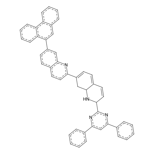 C1=CC(c2nc(-c3ccccc3)cc(-c3ccccc3)n2)NC2CC(c3ccc4ccc(-c5cc6ccccc6c6ccccc56)cc4n3)=CC=C12